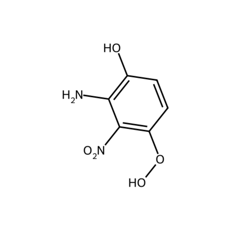 Nc1c(O)ccc(OO)c1[N+](=O)[O-]